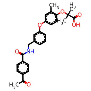 CC(=O)c1ccc(C(=O)NCc2cccc(Oc3ccc(OC(C)(C)C(=O)O)c(C)c3)c2)cc1